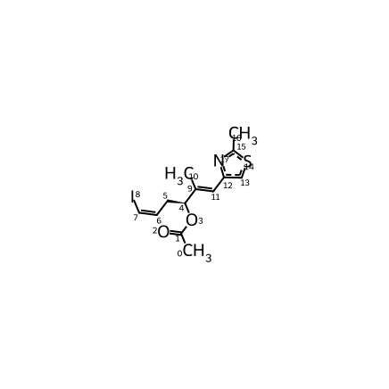 CC(=O)O[C@@H](C/C=C\I)/C(C)=C/c1csc(C)n1